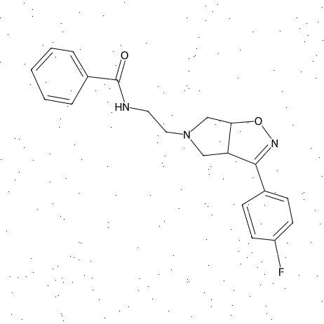 O=C(NCCN1CC2ON=C(c3ccc(F)cc3)C2C1)c1ccccc1